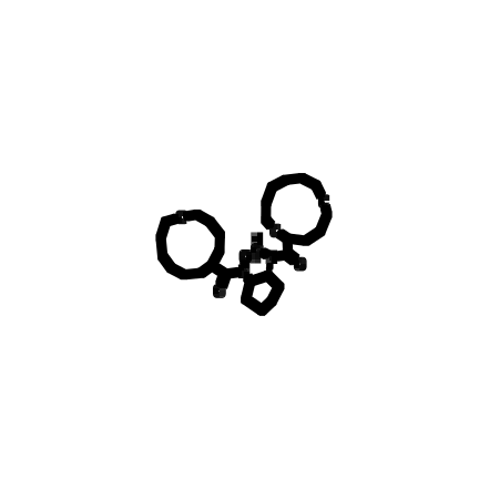 O=C(C1CCCCCCCCCCC1)N(O)C1CCCC[C@H]1N(O)C(=O)C1CCCCCCCCCCC1